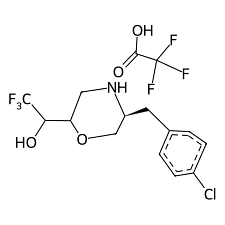 O=C(O)C(F)(F)F.OC(C1CN[C@@H](Cc2ccc(Cl)cc2)CO1)C(F)(F)F